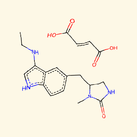 CCNc1c[nH]c2ccc(CC3CNC(=O)N3C)cc12.O=C(O)C=CC(=O)O